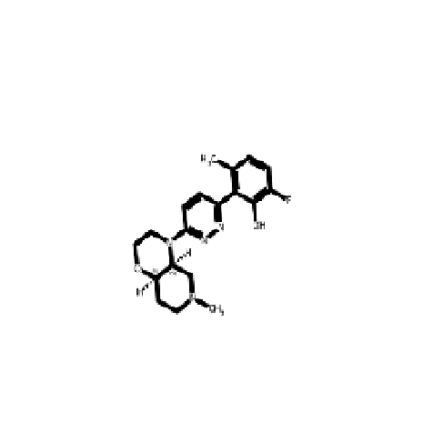 Cc1ccc(F)c(O)c1-c1ccc(N2CCO[C@@H]3CCN(C)C[C@@H]32)nn1